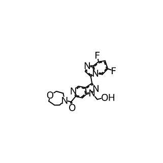 O=C(c1cc2c(cn1)c(-c1cnc3c(F)cc(F)cn13)nn2CO)N1CCCOCC1